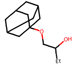 CCC(O)COC12CC3CC(CC(C3)C1)C2